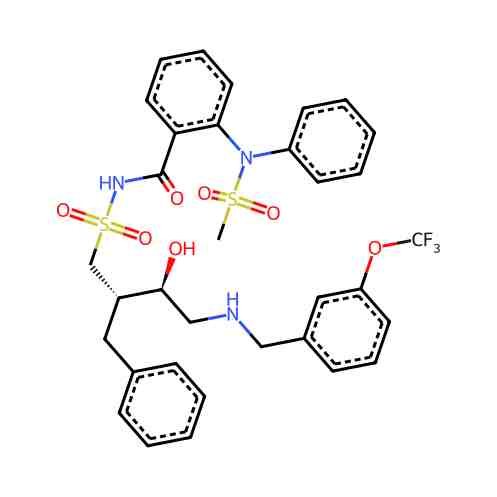 CS(=O)(=O)N(c1ccccc1)c1ccccc1C(=O)NS(=O)(=O)C[C@@H](Cc1ccccc1)[C@@H](O)CNCc1cccc(OC(F)(F)F)c1